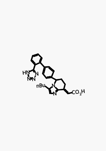 CCCCc1cnc2n1C(c1ccc(-c3ccccc3-c3nnn[nH]3)cc1)CC/C2=C\C(=O)O